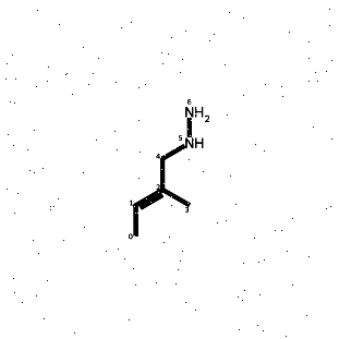 C/C=C(\C)CNN